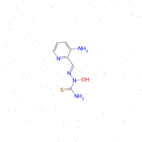 NC(=S)N(O)N=Cc1ncccc1N